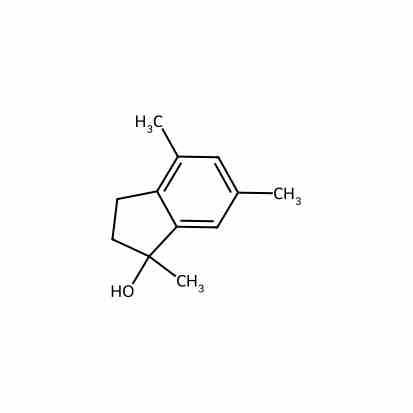 Cc1cc(C)c2c(c1)C(C)(O)CC2